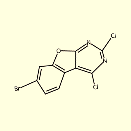 Clc1nc(Cl)c2c(n1)oc1cc(Br)ccc12